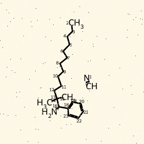 C#N.CCCCCCCCCCCC(C)(C)C(N)c1ccccc1